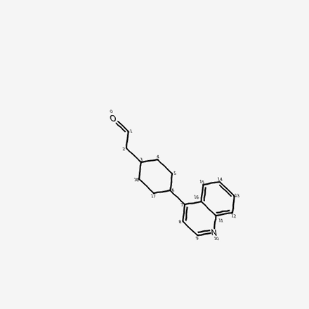 O=CCC1CCC(c2ccnc3ccccc23)CC1